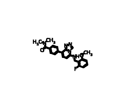 COc1cccc(F)c1CNc1ccc(-c2ccc(C(=O)N(C)C)cc2)c2nncn12